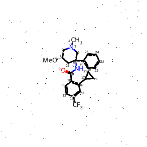 CO[C@@H]1CN(C)C[C@](NC(=O)c2ccc(C(F)(F)F)cc2C2CC2)(c2ccccc2)C1